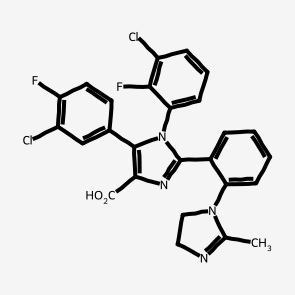 CC1=NCCN1c1ccccc1-c1nc(C(=O)O)c(-c2ccc(F)c(Cl)c2)n1-c1cccc(Cl)c1F